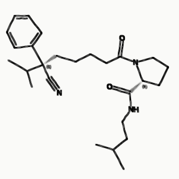 CC(C)CCNC(=O)[C@H]1CCCN1C(=O)CCCC[C@@](C#N)(c1ccccc1)C(C)C